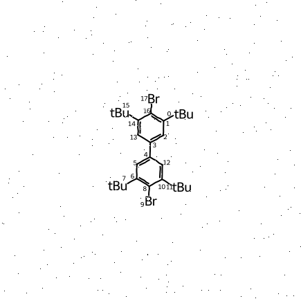 CC(C)(C)c1cc(-c2cc(C(C)(C)C)c(Br)c(C(C)(C)C)c2)cc(C(C)(C)C)c1Br